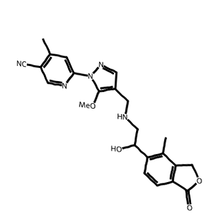 COc1c(CNCC(O)c2ccc3c(c2C)COC3=O)cnn1-c1cc(C)c(C#N)cn1